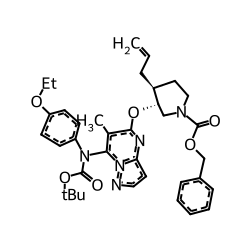 C=CC[C@H]1CCN(C(=O)OCc2ccccc2)C[C@@H]1Oc1nc2ccnn2c(N(C(=O)OC(C)(C)C)c2ccc(OCC)cc2)c1C